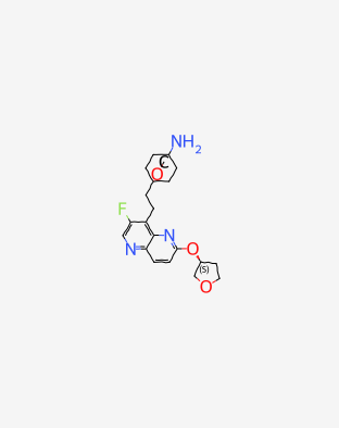 NC12CCC(CCc3c(F)cnc4ccc(O[C@H]5CCOC5)nc34)(CC1)OC2